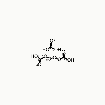 O=C(O)O.O=C(O)OOOOC(=O)O